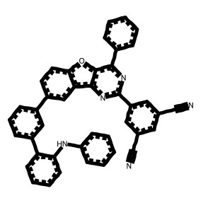 N#Cc1cc(C#N)cc(-c2nc(-c3ccccc3)c3oc4ccc(-c5cccc(-c6ccccc6Nc6ccccc6)c5)cc4c3n2)c1